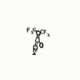 FC(F)(F)c1cc(N2CCC(N3CCN(C4CC4)CC3)C(c3ccccc3)C2)cc(C(F)(F)F)c1